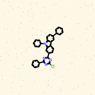 Clc1nc(-c2ccccc2)nc(-c2ccc3c4cc(-c5ccccc5)ccc4n(-c4ccccc4)c3c2)n1